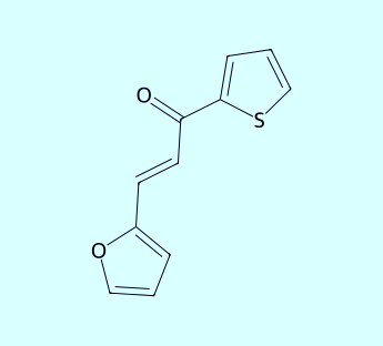 O=C(C=Cc1ccco1)c1cccs1